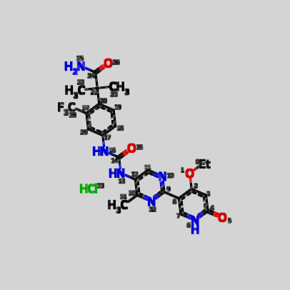 CCOc1cc(=O)[nH]cc1-c1ncc(NC(=O)Nc2ccc(C(C)(C)C(N)=O)c(C(F)(F)F)c2)c(C)n1.Cl